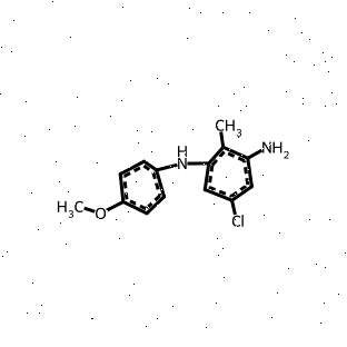 COc1ccc(Nc2cc(Cl)cc(N)c2C)cc1